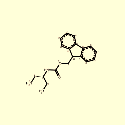 NC[C@@H](CO)NC(=O)OCC1c2ccccc2-c2ccccc21